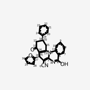 N#CC1=C2N=C(O)c3ccccc3N2C2=C(C(=O)C[C@@H](c3ccccc3)C2)[C@@H]1c1ccco1